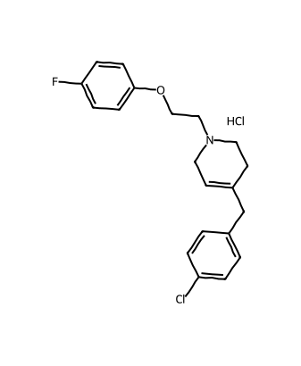 Cl.Fc1ccc(OCCN2CC=C(Cc3ccc(Cl)cc3)CC2)cc1